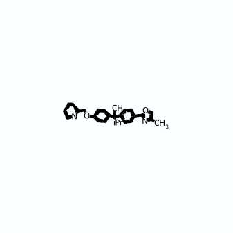 Cc1coc(-c2ccc(C(C)(c3ccc(OCc4ccccn4)cc3)C(C)C)cc2)n1